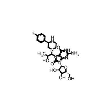 CC(O)C(N1CCNC(c2ccc(F)cc2)C1)n1c(=O)n([C@@H]2O[C@H](CO)[C@@H](O)[C@H]2O)c2nc(N)[nH]c(=O)c21